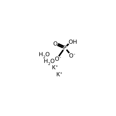 O.O.O=P([O-])([O-])O.[K+].[K+]